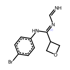 N=C/N=C(\Nc1ccc(Br)cc1)C1COC1